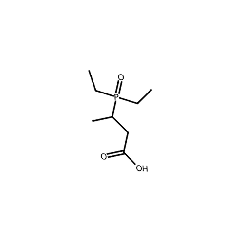 CCP(=O)(CC)C(C)CC(=O)O